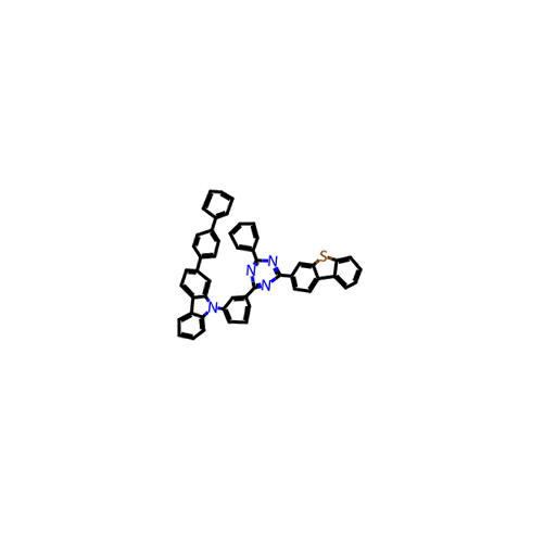 c1ccc(-c2ccc(-c3ccc4c5ccccc5n(-c5cccc(-c6nc(-c7ccccc7)nc(-c7ccc8c(c7)sc7ccccc78)n6)c5)c4c3)cc2)cc1